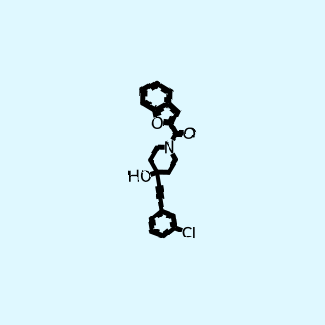 O=C(c1cc2ccccc2o1)N1CCC(O)(C#Cc2cccc(Cl)c2)CC1